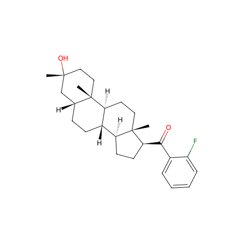 C[C@@]1(O)CC[C@@]2(C)[C@H](CC[C@@H]3[C@@H]2CC[C@]2(C)[C@@H](C(=O)c4ccccc4F)CC[C@@H]32)C1